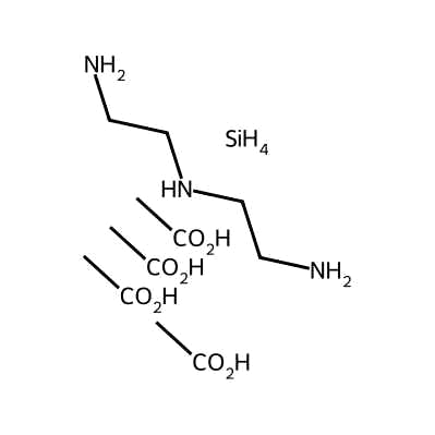 CC(=O)O.CC(=O)O.CC(=O)O.CC(=O)O.NCCNCCN.[SiH4]